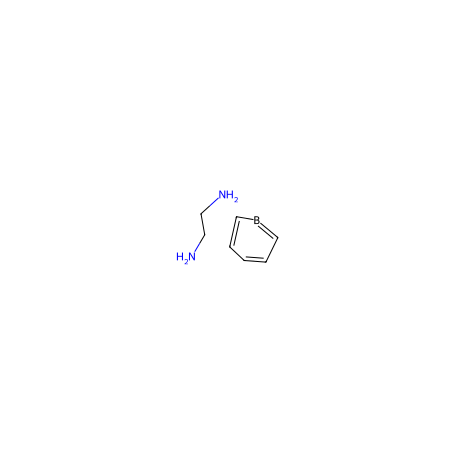 NCCN.b1ccccc1